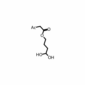 CC(=O)CC(=O)OCCCC(O)O